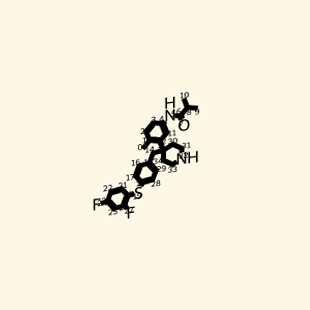 Cc1ccc(NC(=O)C(C)C)cc1C1(Cc2ccc(Sc3ccc(F)cc3F)cc2)CCNCC1